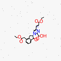 CCOC(=O)/C=C/c1cn(C2Cc3c(CC(=O)OCC)cccc3C2=O)c(C(=O)O)n1